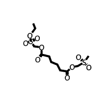 CCOS(=O)(=O)COC(=O)CCCCC(=O)OCS(C)(=O)=O